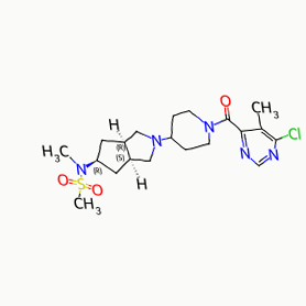 Cc1c(Cl)ncnc1C(=O)N1CCC(N2C[C@H]3C[C@@H](N(C)S(C)(=O)=O)C[C@H]3C2)CC1